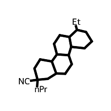 CCCC1(C#N)CCC2C(CCC3C4CCCC(CC)C4CCC23)C1